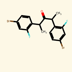 CC(C(=O)C(C)c1ccc(Br)cc1F)c1ccc(Br)cc1F